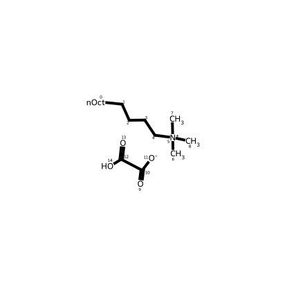 CCCCCCCCCCCC[N+](C)(C)C.O=C([O-])C(=O)O